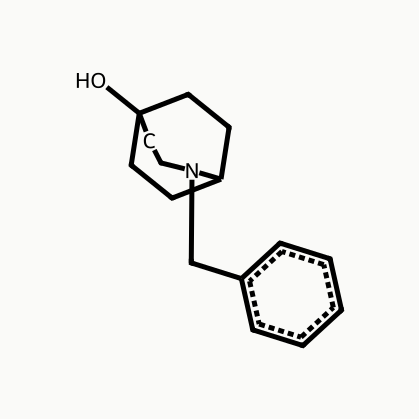 OC12CCC(CC1)N(Cc1ccccc1)CC2